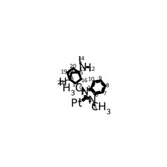 Cn1[c](=[Pt])n(C)c2ccccc21.IN(I)[C@]12CC[C@@H](CC1)C2